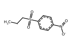 C[CH]CS(=O)(=O)c1ccc([N+](=O)[O-])cc1